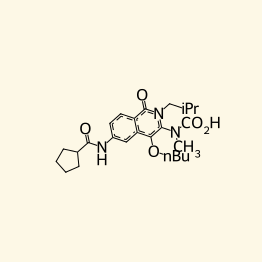 CCCCOc1c(N(C)C(=O)O)n(CC(C)C)c(=O)c2ccc(NC(=O)C3CCCC3)cc12